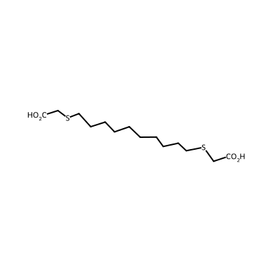 O=C(O)CSCCCCCCCCCCSCC(=O)O